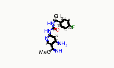 COC(=N)c1cnc(NC(=O)N[C@H](C)c2ccc(F)cc2)cc1N